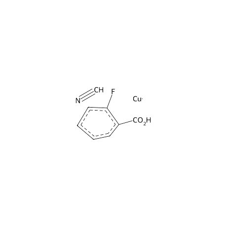 C#N.O=C(O)c1ccccc1F.[Cu]